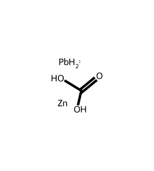 O=C(O)O.[PbH2].[Zn]